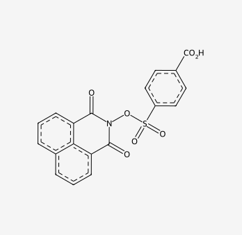 O=C(O)c1ccc(S(=O)(=O)ON2C(=O)c3cccc4cccc(c34)C2=O)cc1